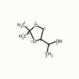 [CH2]C(O)C1COC(C)(C)O1